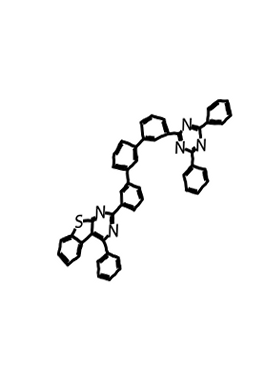 c1ccc(-c2nc(-c3ccccc3)nc(-c3cccc(-c4cccc(-c5cccc(-c6nc(-c7ccccc7)c7c(n6)sc6ccccc67)c5)c4)c3)n2)cc1